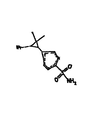 CC(C)C1C(c2ccc(S(N)(=O)=O)nc2)C1(C)C